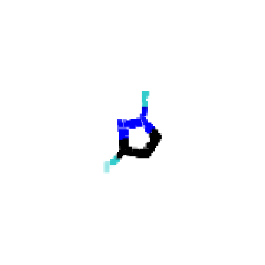 Fc1ccn(F)n1